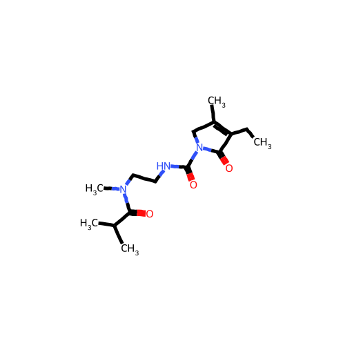 CCC1=C(C)CN(C(=O)NCCN(C)C(=O)C(C)C)C1=O